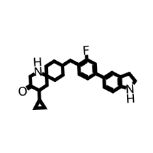 O=C1CNC2(CCC(Cc3ccc(-c4ccc5c(c4)CCN5)cc3F)CC2)CC1C1CC1